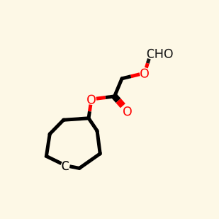 O=COCC(=O)OC1CCCCCCC1